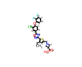 CCc1cc(CN2CC(C(=O)O)C2)sc1-c1noc(-c2ccc(Oc3cccc(F)c3F)c(Cl)c2)n1